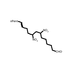 CCCCC/C=C/CCC(CC(CCCCC[C]=O)[N+](=O)[O-])[N+](=O)[O-]